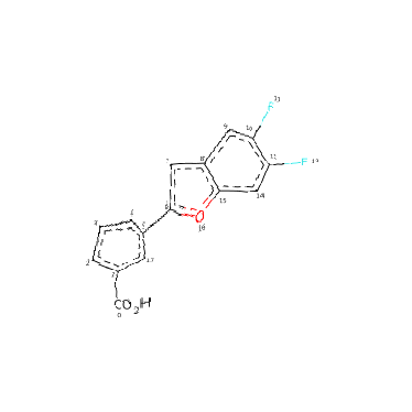 O=C(O)c1cccc(-c2cc3cc(F)c(F)cc3o2)c1